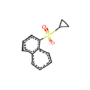 O=S(=O)(c1cccc2ccccc12)C1CC1